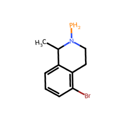 CC1c2cccc(Br)c2CCN1P